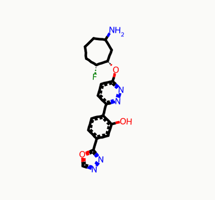 NC1CCC[C@@H](F)[C@@H](Oc2ccc(-c3ccc(-c4nnco4)cc3O)nn2)C1